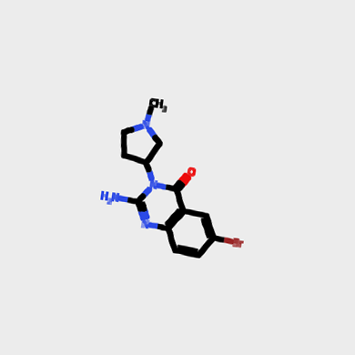 CN1CCC(n2c(N)nc3ccc(Br)cc3c2=O)C1